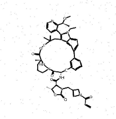 C=CC(=O)N1CC(CN2C(=O)O[C@H](C)[C@H]2C(=O)N[C@H]2Cc3cccc(c3)-c3ccc4c(c3)c(c(-c3cccnc3[C@H](C)OC)n4CC)CC(C)(C)COC(=O)[C@@]3(C)CCCN(N3)C2=O)C1